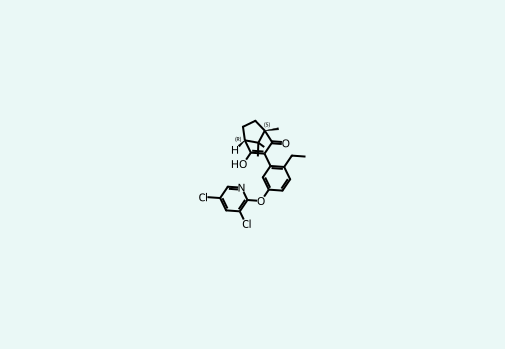 CCc1ccc(Oc2ncc(Cl)cc2Cl)cc1C1=C(O)[C@@H]2CC[C@](C)(C1=O)C2(C)C